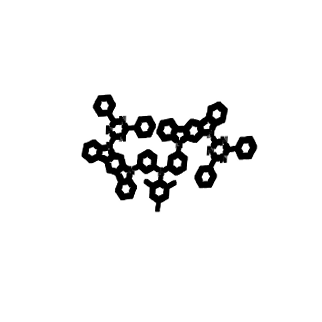 Cc1cc(C)c(B(c2cccc(-n3c4ccccc4c4cc5c6ccccc6n(-c6nc(-c7ccccc7)nc(-c7ccccc7)n6)c5cc43)c2)c2cccc(-n3c4ccccc4c4cc5c6ccccc6n(-c6nc(-c7ccccc7)nc(-c7ccccc7)n6)c5cc43)c2)c(C)c1